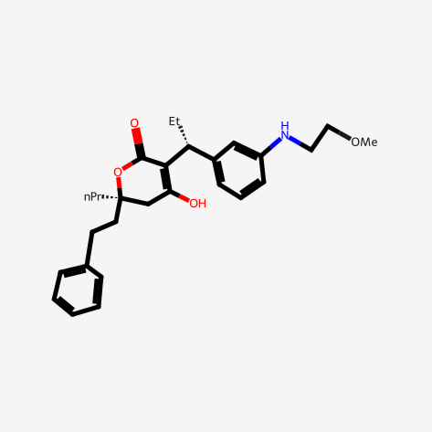 CCC[C@@]1(CCc2ccccc2)CC(O)=C([C@H](CC)c2cccc(NCCOC)c2)C(=O)O1